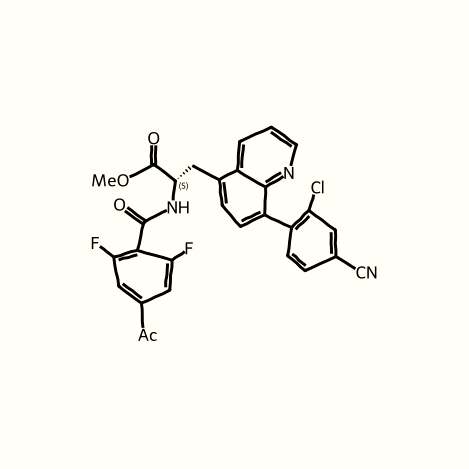 COC(=O)[C@H](Cc1ccc(-c2ccc(C#N)cc2Cl)c2ncccc12)NC(=O)c1c(F)cc(C(C)=O)cc1F